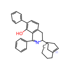 Oc1c(-c2ccccc2)ccc2c1C(c1ccccc1)=NC(CC/C1=C\CCCCCC1)C2